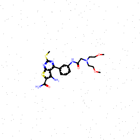 COCCN(CCOC)CC(=O)Nc1cccc(-c2nc(SC)nc3sc(C(N)=O)c(N)c23)c1